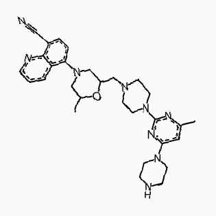 Cc1cc(N2CCNCC2)nc(N2CCN(CC3CN(c4ccc(C#N)c5ncccc45)CC(C)O3)CC2)n1